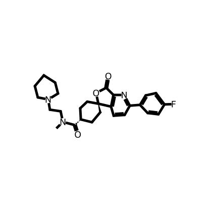 CN(CCN1CCCCC1)C(=O)[C@H]1CC[C@@]2(CC1)OC(=O)c1nc(-c3ccc(F)cc3)ccc12